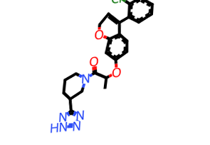 CC(Oc1ccc2c(c1)OCC=C2c1ccccc1Cl)C(=O)N1CCCC(c2nn[nH]n2)C1